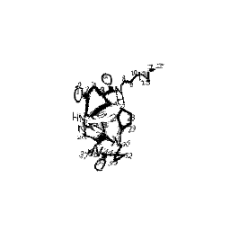 COc1cc(C(=O)NCCCN(C)C)ccc1Nc1ncc2c(n1)N(C1CCCC1)CC1(CC1)C(=O)N2C